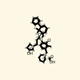 Cc1c(CN2CCCC[C@H]2C(=O)O)ccc(OCC2(OCCCN3CC[C@@H](O)C3)C=CC=C(c3ccccc3)C2(C)C)c1Cl